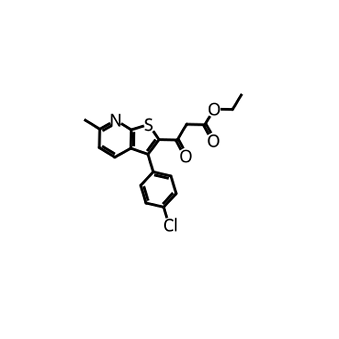 CCOC(=O)CC(=O)c1sc2nc(C)ccc2c1-c1ccc(Cl)cc1